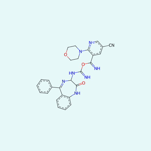 N#Cc1cnc(N2CCOCC2)c(C(=N)OC(=N)NC2N=C(c3ccccc3)c3ccccc3NC2=O)c1